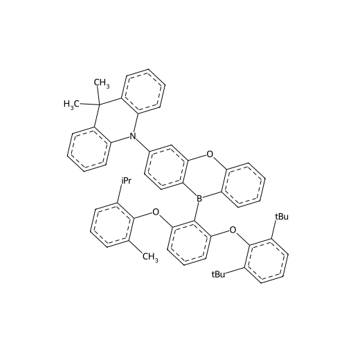 Cc1cccc(C(C)C)c1Oc1cccc(Oc2c(C(C)(C)C)cccc2C(C)(C)C)c1B1c2ccccc2Oc2cc(N3c4ccccc4C(C)(C)c4ccccc43)ccc21